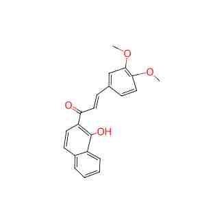 COc1ccc(/C=C/C(=O)c2ccc3ccccc3c2O)cc1OC